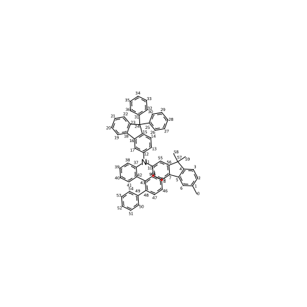 Cc1ccc2c(c1)-c1ccc(N(c3ccc4c(c3)-c3ccccc3C4(c3ccccc3)c3ccccc3)c3ccccc3-c3ccccc3-c3ccccc3)cc1C2(C)C